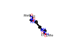 CC[C@H](NC(=O)OC)C(=O)N1CCC[C@H]1c1ncc(-c2ccc(C#Cc3ccc4nc([C@@H]5CCCN5C(=O)[C@H](CC)NC(=O)OC)[nH]c4c3)cc2)[nH]1